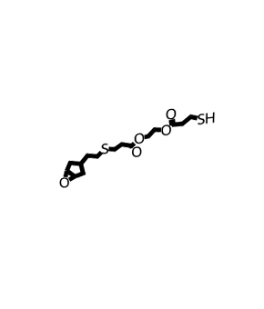 O=C(CCS)OCCOC(=O)CCSCCC1CC2OC2C1